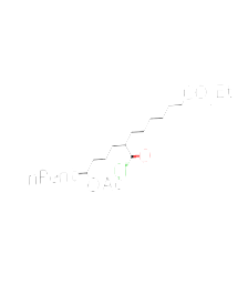 CCCCCC(CCCC(CCCCCCC(=O)OCC)C(=O)Cl)OC(C)=O